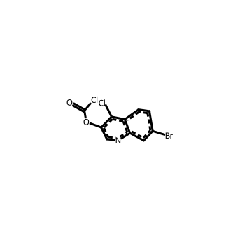 O=C(Cl)Oc1cnc2cc(Br)ccc2c1Cl